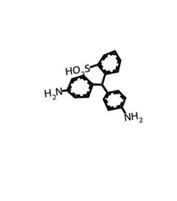 Nc1ccc(C(c2ccc(N)cc2)c2ccccc2S(=O)(=O)O)cc1